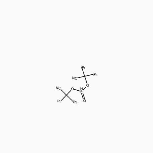 CC(C)C(C#N)(O[PH](=O)OC(C#N)(C(C)C)C(C)C)C(C)C